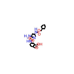 Nc1cc(NC(=O)OCc2ccccc2)cnc1S(=O)(=O)Nc1ccc2c(c1)B(O)OC2